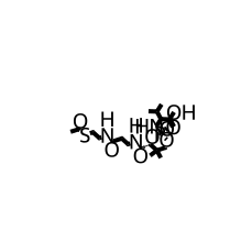 CC(=O)SCCNC(=O)CCNC(=O)[C@@H]1O[P@@](=O)(NC(C(=O)O)C(C)C)OCC1(C)C